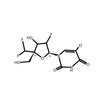 O=c1[nH]c(=O)n([C@H]2O[C@](CO)(C(F)F)C(O)C2F)cc1Cl